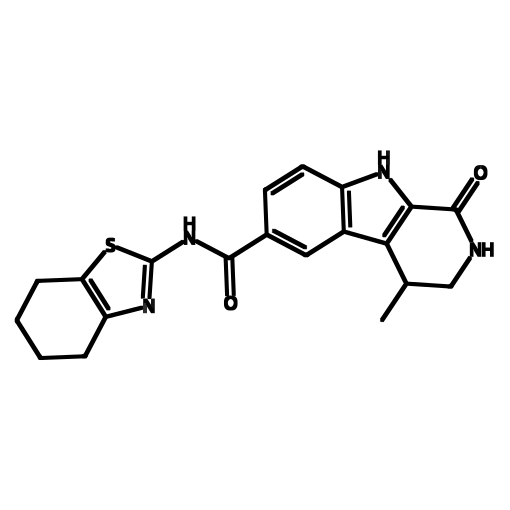 CC1CNC(=O)c2[nH]c3ccc(C(=O)Nc4nc5c(s4)CCCC5)cc3c21